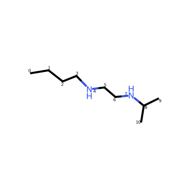 CCCCNCCNC(C)C